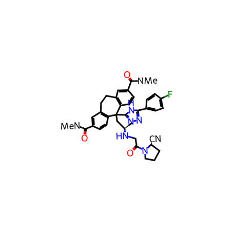 CNC(=O)c1ccc2c(c1)CCc1cc(C(=O)NC)ccc1C2(C[C@@H](C)NCC(=O)N1CCC[C@H]1C#N)c1nnc(-c2ccc(F)cc2)[nH]1